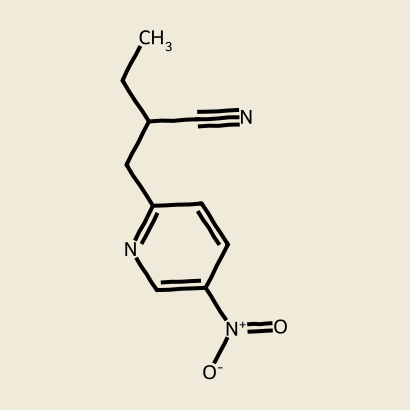 CCC(C#N)Cc1ccc([N+](=O)[O-])cn1